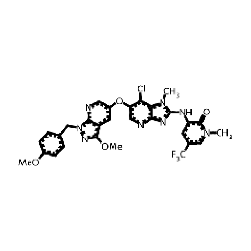 COc1ccc(Cn2nc(OC)c3cc(Oc4cnc5nc(Nc6cc(C(F)(F)F)cn(C)c6=O)n(C)c5c4Cl)cnc32)cc1